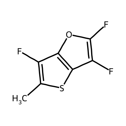 Cc1sc2c(F)c(F)oc2c1F